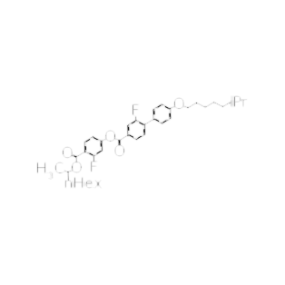 CCCCCCC(C)OC(=O)c1ccc(OC(=O)c2ccc(-c3ccc(OCCCCCC(C)C)cc3)c(F)c2)cc1F